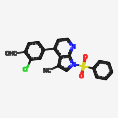 N#Cc1cn(S(=O)(=O)c2ccccc2)c2nccc(-c3ccc(C=O)c(Cl)c3)c12